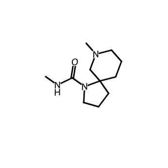 CNC(=O)N1CCCC12CCCN(C)C2